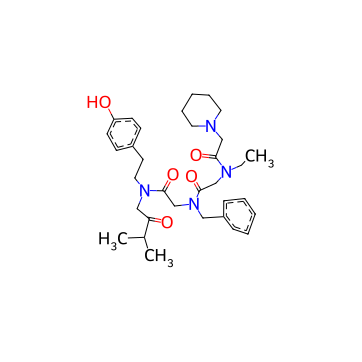 CCN(CC(=O)N(CC(=O)N(CCc1ccc(O)cc1)CC(=O)C(C)C)Cc1ccccc1)C(=O)CN1CCCCC1